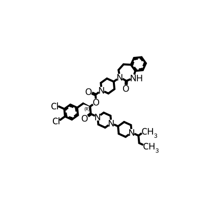 CCC(C)N1CCC(N2CCN(C(=O)[C@@H](Cc3ccc(Cl)c(Cl)c3)OC(=O)N3CCC(N4CCc5ccccc5NC4=O)CC3)CC2)CC1